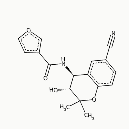 CC1(C)Oc2ccc(C#N)cc2[C@H](NC(=O)c2ccoc2)[C@H]1O